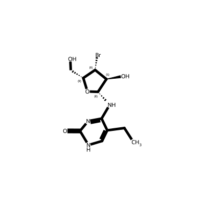 CCc1c[nH]c(=O)nc1N[C@@H]1O[C@H](CO)[C@H](Br)[C@H]1O